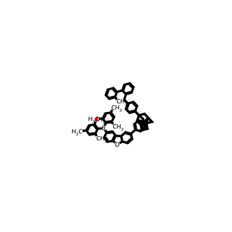 Cc1cc(C)c(B(c2ccc3c(c2)C2C=C(c4ccc(C56CC7(c8ccc(Cc9ccccc9-c9ccccc9C)cc8)CC8CC5(C6)C8C7)cc4)C=CC2O3)c2c(C)cc(C)cc2C)c(C)c1